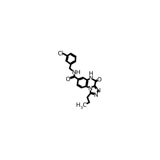 CCCc1nnc2c(=O)[nH]c3cc(C(=O)NCc4cccc(Cl)c4)ccc3n12